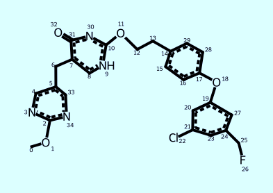 COc1ncc(Cc2c[nH]c(OCCc3ccc(Oc4cc(Cl)cc(CF)c4)cc3)nc2=O)cn1